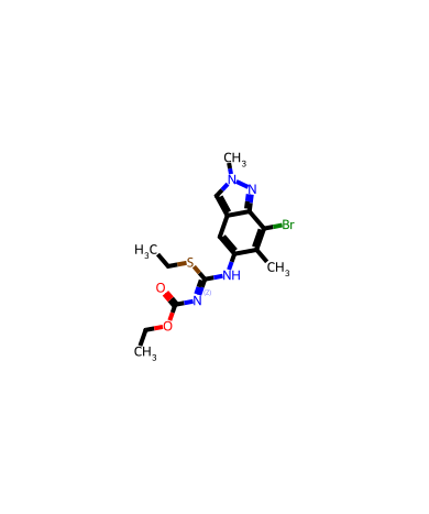 CCOC(=O)/N=C(/Nc1cc2cn(C)nc2c(Br)c1C)SCC